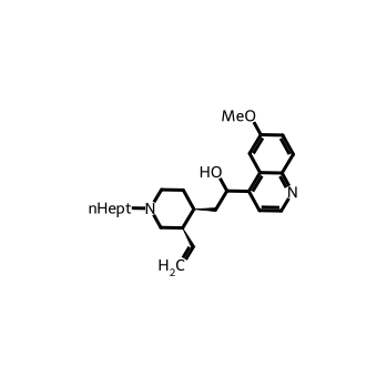 C=C[C@H]1CN(CCCCCCC)CC[C@H]1CC(O)c1ccnc2ccc(OC)cc12